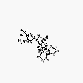 CC(C)(C)n1nc([C@@H]2C[C@H](O[Si](c3ccccc3)(c3ccccc3)C(C)(C)C)[C@@H](F)C2)cc1N